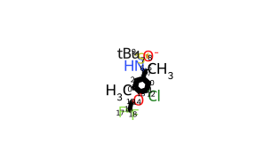 Cc1cc([C@@H](C)N[S+]([O-])C(C)(C)C)cc(Cl)c1OCC(F)F